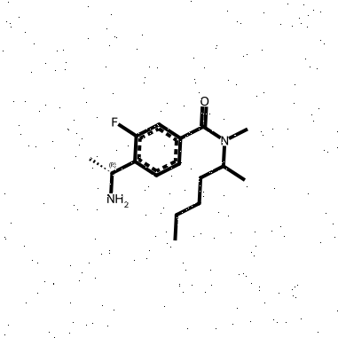 CCCCC(C)N(C)C(=O)c1ccc([C@@H](C)N)c(F)c1